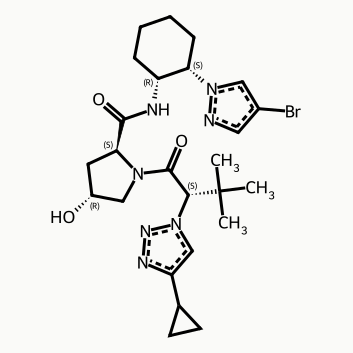 CC(C)(C)[C@@H](C(=O)N1C[C@H](O)C[C@H]1C(=O)N[C@@H]1CCCC[C@@H]1n1cc(Br)cn1)n1cc(C2CC2)nn1